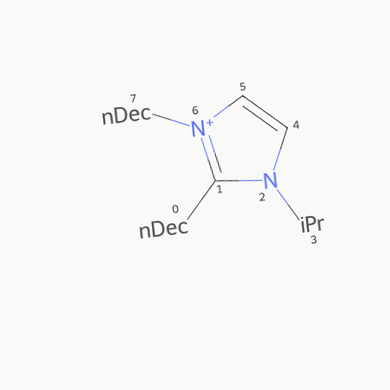 CCCCCCCCCCc1n(C(C)C)cc[n+]1CCCCCCCCCC